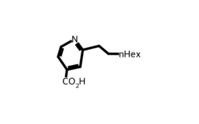 CCCCCCCCc1cc(C(=O)O)ccn1